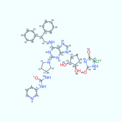 Cl.O=C(Nc1cccnc1)N[C@@H]1CCN(c2nc(NCC(c3ccccc3)c3ccccc3)c3ncn([C@@H]4C[C@H](N5C(=O)CNC5=O)[C@@H](O)[C@H]4O)c3n2)C1